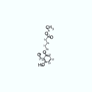 CCOC(=O)CCCCOc1cccc(O)c1C=O